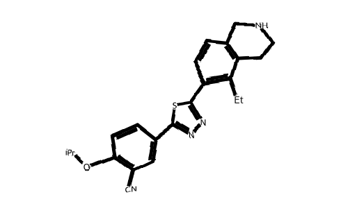 CCc1c(-c2nnc(-c3ccc(OC(C)C)c(C#N)c3)s2)ccc2c1CCNC2